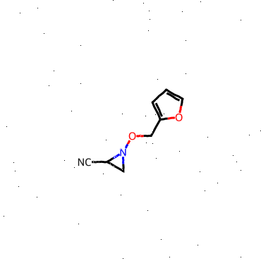 N#CC1CN1OCc1ccco1